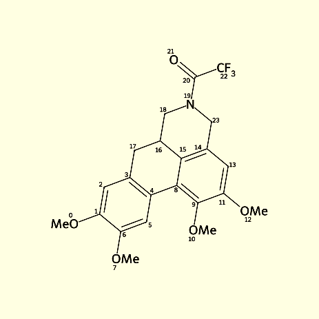 COc1cc2c(cc1OC)-c1c(OC)c(OC)cc3c1C(C2)CN(C(=O)C(F)(F)F)C3